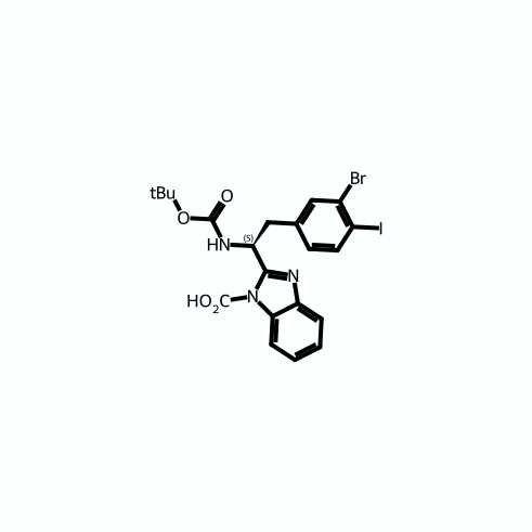 CC(C)(C)OC(=O)N[C@@H](Cc1ccc(I)c(Br)c1)c1nc2ccccc2n1C(=O)O